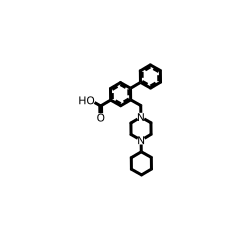 O=C(O)c1ccc(-c2ccccc2)c(CN2CCN(C3CCCCC3)CC2)c1